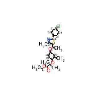 CCOC(=O)C(C)(C)Oc1ccc(OC(C)c2sc(-c3ccc(Cl)cc3)nc2C)cc1C